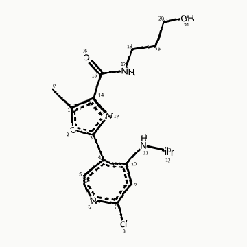 Cc1oc(-c2cnc(Cl)cc2NC(C)C)nc1C(=O)NCCCO